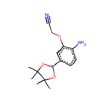 CC1(C)OB(c2ccc(N)c(OCC#N)c2)OC1(C)C